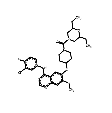 CCC1CN(C(=O)N2CCC(Oc3cc4c(Nc5ccc(F)c(Cl)c5)ncnc4cc3OC)CC2)CC(CC)O1